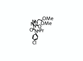 COC(Cn1nnn(C(=O)N(c2ccc(Cl)cc2)C(C)C)c1=O)OC